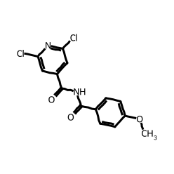 COc1ccc(C(=O)NC(=O)c2cc(Cl)nc(Cl)c2)cc1